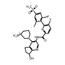 CS(=O)(=O)c1cc(F)c(-c2nc(C(=O)Nc3cnc4c(c3N3CCC[C@H](N)C3)CCC4O)ccc2F)c(F)c1